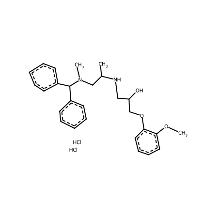 COc1ccccc1OCC(O)CNC(C)CN(C)C(c1ccccc1)c1ccccc1.Cl.Cl